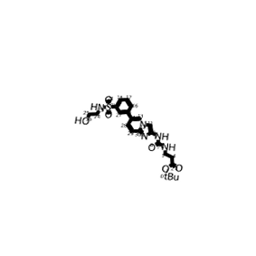 CC(C)(C)OC(=O)CCNC(=O)Nc1cn2cc(-c3cccc(S(=O)(=O)NCCO)c3)ccc2n1